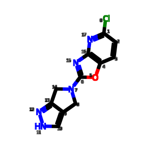 Clc1ccc2oc(N3Cc4c[nH]nc4C3)nc2n1